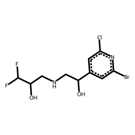 OC(CNCC(O)C(F)F)c1cc(Cl)nc(Br)c1